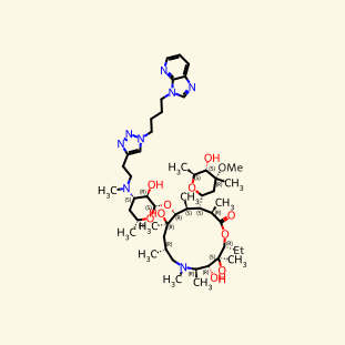 CC[C@H]1OC(=O)[C@H](C)[C@@H](C2C[C@@](C)(OC)[C@@H](O)[C@H](C)O2)[C@H](C)[C@@H](O[C@@H]2O[C@H](C)C[C@H](N(C)CCc3cn(CCCCn4cnc5cccnc54)nn3)[C@H]2O)[C@](C)(O)C[C@@H](C)CN(C)[C@H](C)[C@@H](O)[C@]1(C)O